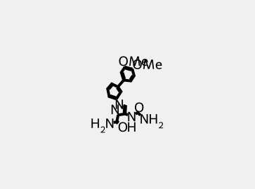 COc1ccc(-c2cccc(-n3cc(NC(N)=O)c(C(N)=O)n3)c2)cc1OC